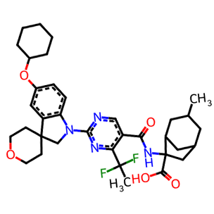 CC1CC2CC(C1)C(NC(=O)c1cnc(N3CC4(CCOCC4)c4cc(OC5CCCCC5)ccc43)nc1C(C)(F)F)(C(=O)O)C2